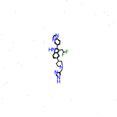 FC(F)Cc1c(-c2ccc3nccn3c2)[nH]c2ccc(C3CCN(Cc4c[nH]cn4)CC3)cc12